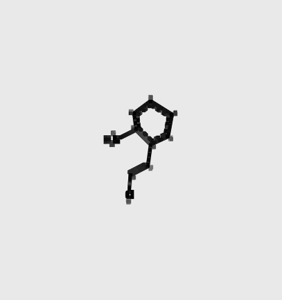 Nc1ccccc1C=CCl